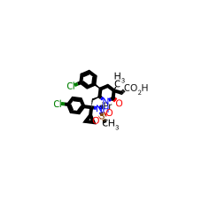 CC(C)N([C@](C[C@@H]1NC(=O)[C@](C)(CC(=O)O)C[C@@H]1c1cccc(Cl)c1)(c1ccc(Cl)cc1)C1CC1)S(C)(=O)=O